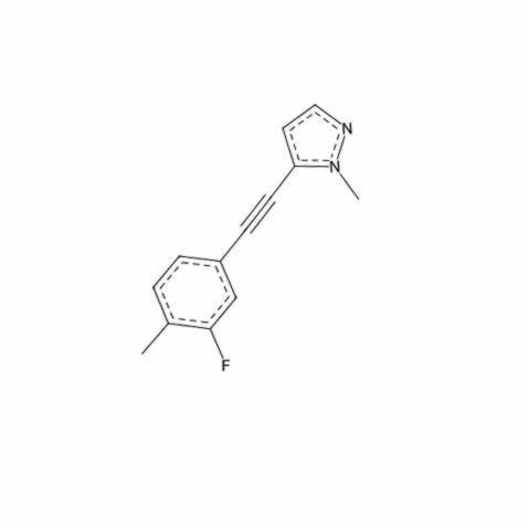 Cc1ccc(C#Cc2ccnn2C)cc1F